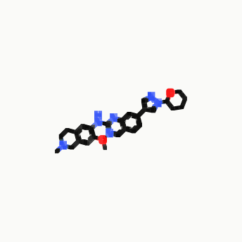 COc1cc2c(cc1Nc1ncc3ccc(-c4cnn(C5CCCCO5)c4)cc3n1)CCN(C)C2